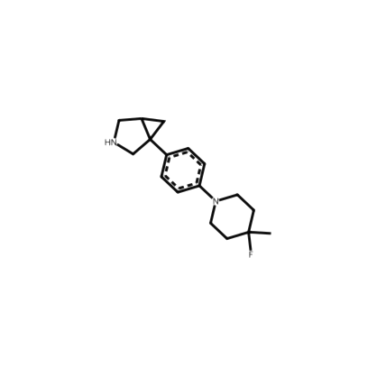 CC1(F)CCN(c2ccc(C34CNCC3C4)cc2)CC1